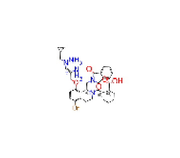 N/C(=C\N(N)CC1CC1)COc1ccc(Br)c2c1[C@@H](CN1Cc3ccccc3C1=O)N(C(=O)[C@@H]1CCCC[C@@H]1C(=O)O)CC2